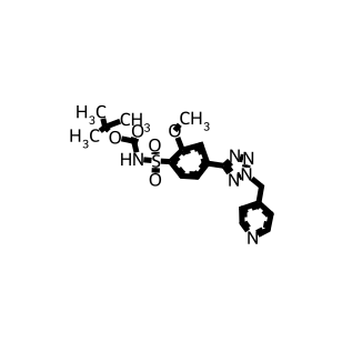 COc1cc(-c2nnn(Cc3ccncc3)n2)ccc1S(=O)(=O)NC(=O)OC(C)(C)C